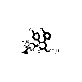 CCC(CN(C)S(=O)(=O)C1CC1)N1C(=O)C(CC(=O)O)CC(c2cccc(Cl)c2)C1c1ccc(Cl)cc1